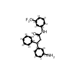 Nc1cccc(C(CC(=O)Nc2cccc(C(F)(F)F)c2)c2ccccc2)c1